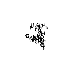 CC(C)(C)OC(=O)N1C[C@@H]2C(Oc3cc(C(C)(C)NC(=O)OCc4ccccc4)cc(-c4ccc(F)cc4F)n3)[C@@H]2C1